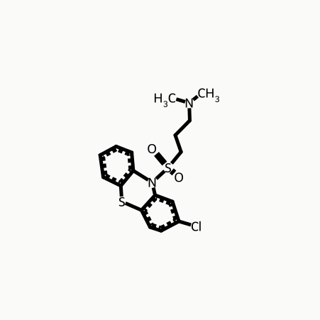 CN(C)CCCS(=O)(=O)N1c2ccccc2Sc2ccc(Cl)cc21